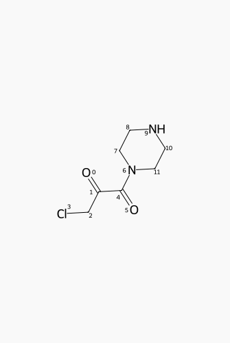 O=C(CCl)C(=O)N1CCNCC1